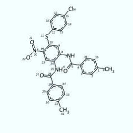 Cc1ccc(C(=O)Nc2cc(Sc3ccc(Cl)cc3)c([N+](=O)[O-])cc2NC(=O)c2ccc(C)cc2)cc1